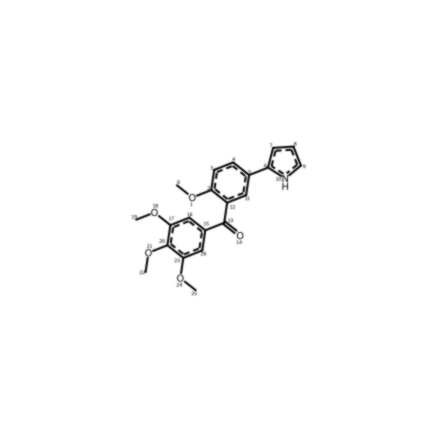 COc1ccc(-c2ccc[nH]2)cc1C(=O)c1cc(OC)c(OC)c(OC)c1